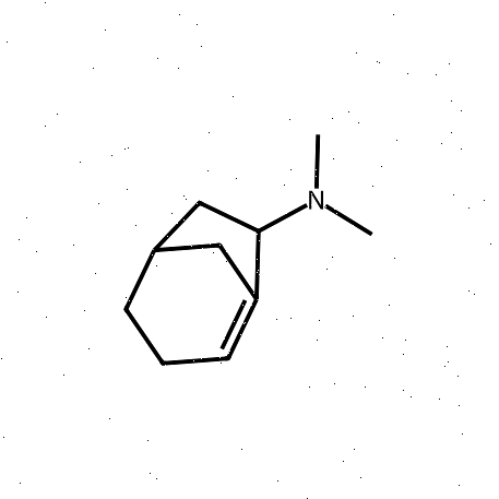 CN(C)C1CC2CCC=C1C2